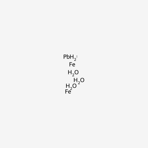 O.O.O.[Fe].[Fe].[PbH2]